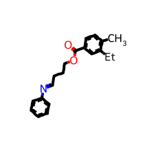 CCc1cc(C(=O)OCCCC=Nc2ccccc2)ccc1C